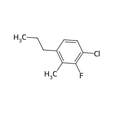 CCCc1ccc(Cl)c(F)c1C